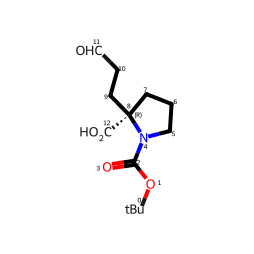 CC(C)(C)OC(=O)N1CCC[C@@]1(CCC=O)C(=O)O